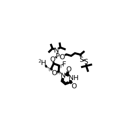 [2H]C[C@H]1O[C@@H](n2ccc(=O)[nH]c2=O)[C@@H](F)C1OP(OCCCC(C)SSC(C)(C)C)N(C(C)C)C(C)C